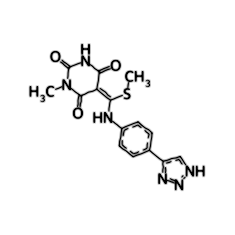 CSC(Nc1ccc(-c2c[nH]nn2)cc1)=C1C(=O)NC(=O)N(C)C1=O